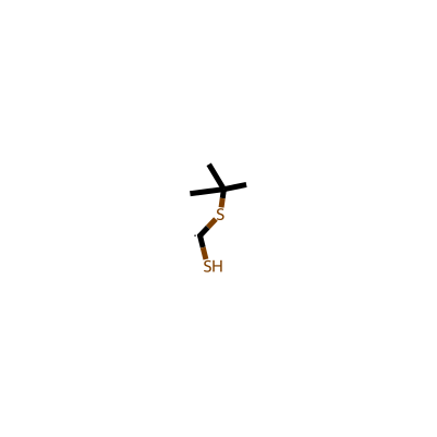 CC(C)(C)S[CH]S